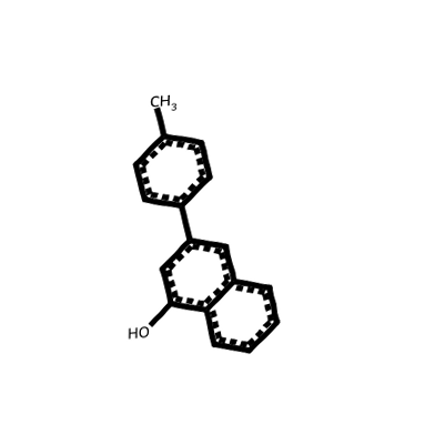 Cc1ccc(-c2cc(O)c3ccccc3c2)cc1